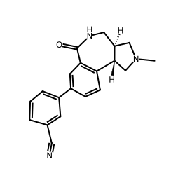 CN1C[C@@H]2CNC(=O)c3cc(-c4cccc(C#N)c4)ccc3[C@H]2C1